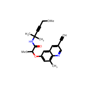 C#Cc1cnc2c(C)cc(OC(SC)C(=O)NC(C)(C)C#CCOC)cc2c1